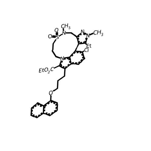 CCOC(=O)c1c(CCCOc2cccc3ccccc23)c2ccc(Cl)c3c2n1CCCS(=O)(=O)N(C)Cc1nn(C)c(CC)c1-3